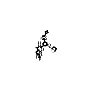 CC(NC(=O)c1cc(OC[C@@H]2CCCO2)cc(-c2ncc(C3CCC3)s2)c1)c1ccc(C(F)(F)F)nn1